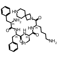 CC(C)C[C@@H](NC(=O)[C@@H](Cc1ccccc1)NC(=O)[C@H](N)Cc1ccccc1)C(=O)N[C@H](CCCCN)C(=O)N1CC2(CCNCC2)C1